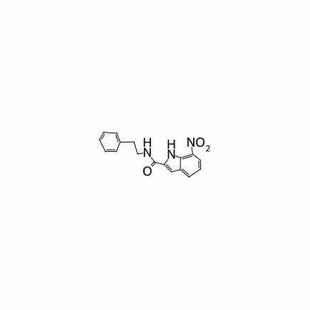 O=C(NCCc1ccccc1)c1cc2cccc([N+](=O)[O-])c2[nH]1